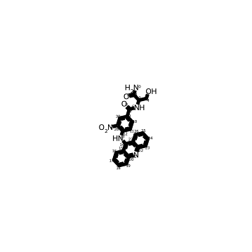 NC(=O)C(CO)NC(=O)c1ccc(Nc2c3ccccc3nc3ccccc23)c([N+](=O)[O-])c1